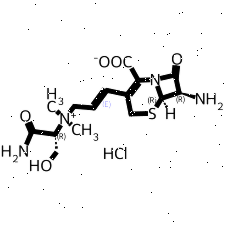 C[N+](C)(C/C=C/C1=C(C(=O)[O-])N2C(=O)[C@@H](N)[C@H]2SC1)[C@H](CO)C(N)=O.Cl